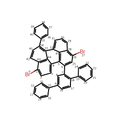 Brc1ccc2c3c(-c4cc(-c5ccccc5)ccc4-c4ccccc4)cc(Br)c4cccc(c5c(-c6ccccc6)ccc1c25)c43